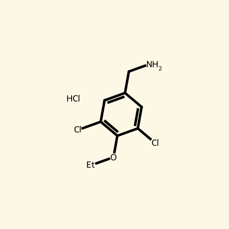 CCOc1c(Cl)cc(CN)cc1Cl.Cl